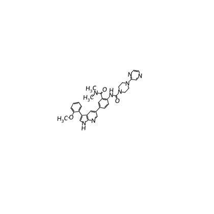 COc1ccccc1-c1c[nH]c2ncc(-c3ccc(NC(=O)N4CCN(c5cnccn5)CC4)c(C(=O)N(C)C)c3)cc12